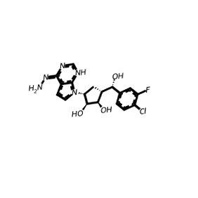 N/N=c1/nc[nH]c2c1ccn2[C@@H]1C[C@H]([C@H](O)c2ccc(Cl)c(F)c2)[C@@H](O)[C@H]1O